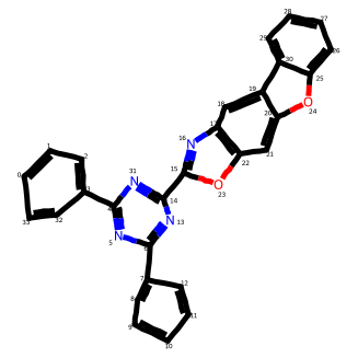 c1ccc(-c2nc(-c3ccccc3)nc(-c3nc4cc5c(cc4o3)oc3ccccc35)n2)cc1